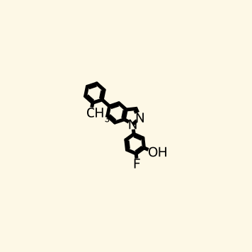 Cc1ccccc1-c1ccc2c(cnn2-c2ccc(F)c(O)c2)c1